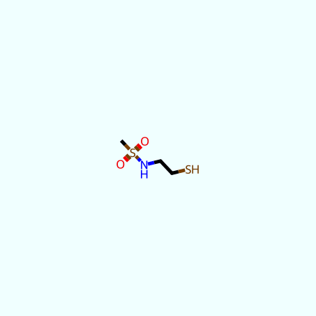 CS(=O)(=O)NCCS